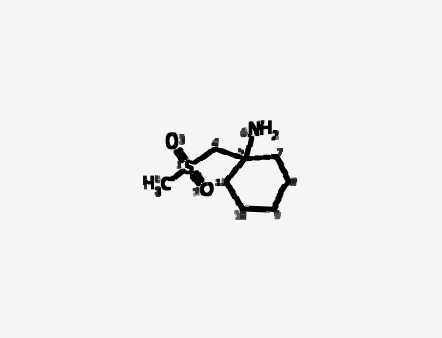 CS(=O)(=O)CC1(N)CCCCC1